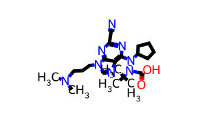 CN(C)CCCn1cnc2c(N(C3CCCC3)N(C(=O)O)C(C)(C)C)nc(C#N)nc21